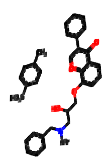 CCCN(Cc1ccccc1)CC(O)COc1cccc2c(=O)c(-c3ccccc3)coc12.Cc1ccc(S(=O)(=O)O)cc1